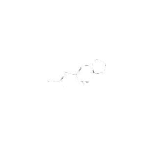 N#C/C(=C/c1ccc2c(c1)CCO2)C(=O)O